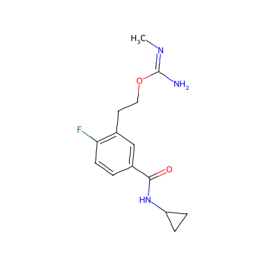 C/N=C(/N)OCCc1cc(C(=O)NC2CC2)ccc1F